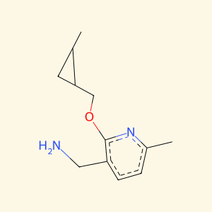 Cc1ccc(CN)c(OCC2CC2C)n1